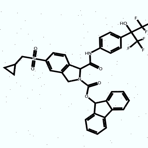 O=C(Nc1ccc(C(O)(C(F)(F)F)C(F)(F)F)cc1)C1c2ccc(S(=O)(=O)CC3CC3)cc2CN1C(=O)OC1c2ccccc2-c2ccccc21